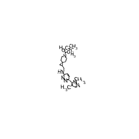 Cc1cnn(C)c1-c1ccc(NCC2CC23CCN(C(=O)OC(C)(C)C)CC3)nn1